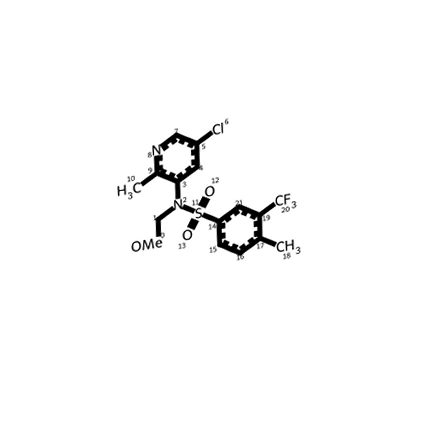 COCN(c1cc(Cl)cnc1C)S(=O)(=O)c1ccc(C)c(C(F)(F)F)c1